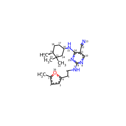 Cc1ccc(CCNc2ncc(C#N)c(N[C@@H]3CC[C@H](C)C(C)(C)C3)n2)o1